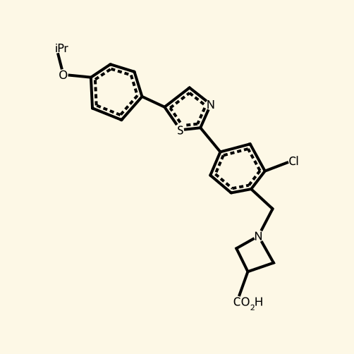 CC(C)Oc1ccc(-c2cnc(-c3ccc(CN4CC(C(=O)O)C4)c(Cl)c3)s2)cc1